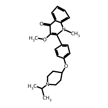 COc1c(-c2ccc(OC3CCN(C(C)C)CC3)cc2)n(C)c2ccccc2c1=O